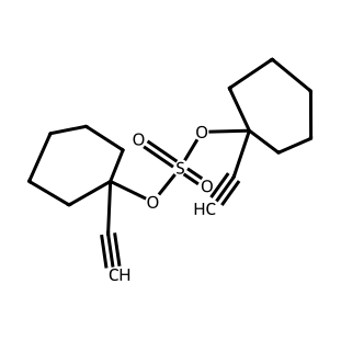 C#CC1(OS(=O)(=O)OC2(C#C)CCCCC2)CCCCC1